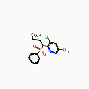 O=C(O)CCC(c1ncc(C(F)(F)F)cc1Cl)S(=O)(=O)c1ccccc1